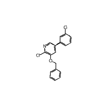 Clc1cccc(-c2cnc(Cl)c(OCc3ccccc3)c2)c1